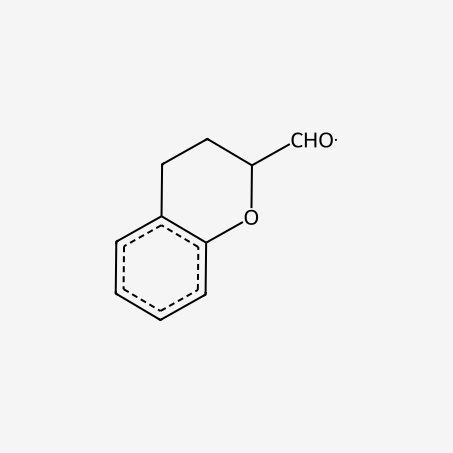 O=[C]C1CCc2ccccc2O1